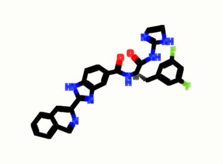 O=C(N[C@@H](Cc1cc(F)cc(F)c1)C(=O)Nc1ncc[nH]1)c1ccc2[nH]c(-c3cc4ccccc4cn3)nc2c1